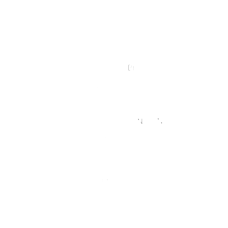 Cn1ncc(Br)c1C(CCCO)c1ccccc1